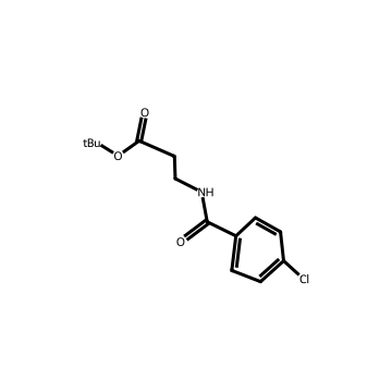 CC(C)(C)OC(=O)CCNC(=O)c1ccc(Cl)cc1